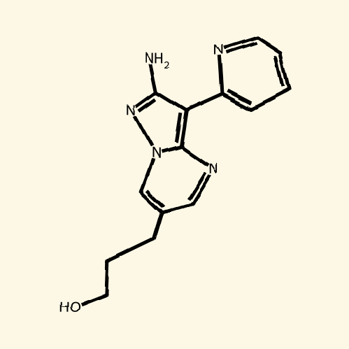 Nc1nn2cc(CCCO)cnc2c1-c1ccccn1